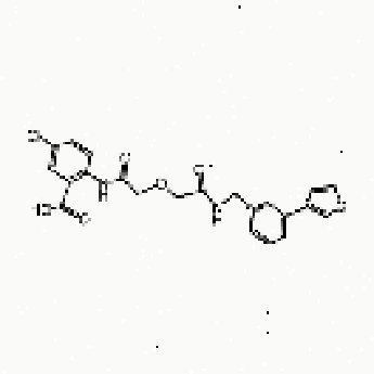 O=C(COCC(=O)Nc1ccc(Cl)cc1C(=O)O)NCc1cccc(-c2ccoc2)c1